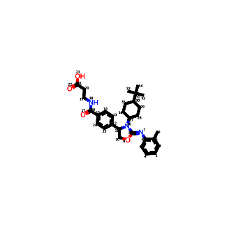 Cc1ccccc1N=C1OCC(c2ccc(C(=O)NCCC(=O)O)cc2)N1C1CCC(C(C)(C)C)CC1